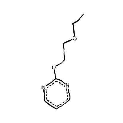 CCOCCOc1ncccn1